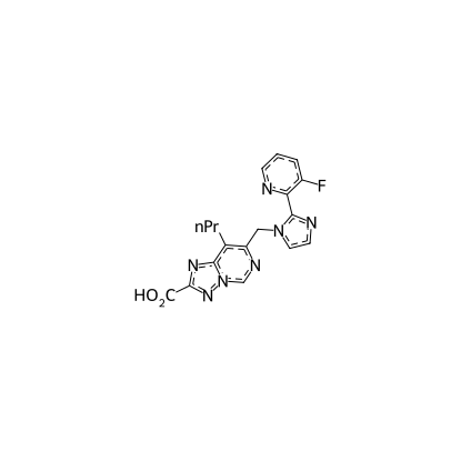 CCCc1c(Cn2ccnc2-c2ncccc2F)ncn2nc(C(=O)O)nc12